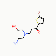 NCCN(CCO)CCC(=O)c1ccc(Br)s1